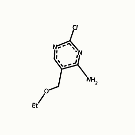 CCOCc1cnc(Cl)nc1N